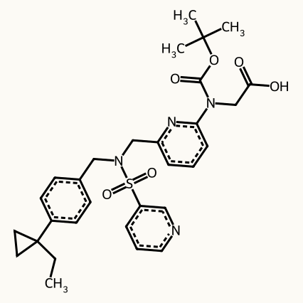 CCC1(c2ccc(CN(Cc3cccc(N(CC(=O)O)C(=O)OC(C)(C)C)n3)S(=O)(=O)c3cccnc3)cc2)CC1